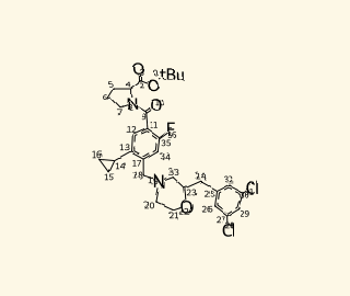 CC(C)(C)OC(=O)C1CCCN1C(=O)c1cc(C2CC2)c(CN2CCOC(Cc3cc(Cl)cc(Cl)c3)C2)cc1F